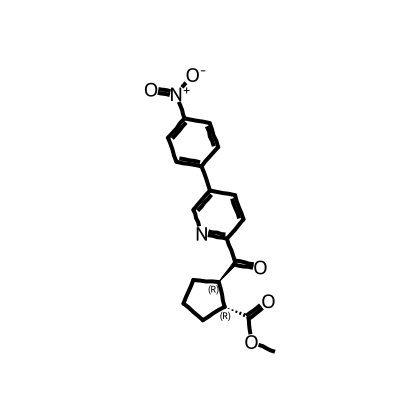 COC(=O)[C@@H]1CCC[C@H]1C(=O)c1ccc(-c2ccc([N+](=O)[O-])cc2)cn1